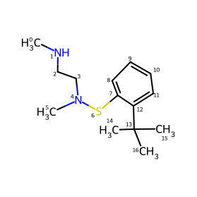 CNCCN(C)Sc1ccccc1C(C)(C)C